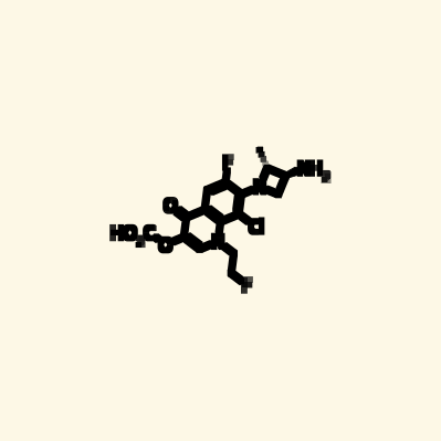 C[C@@H]1[C@@H](N)CN1c1c(F)cc2c(=O)c(OC(=O)O)cn(CCF)c2c1Cl